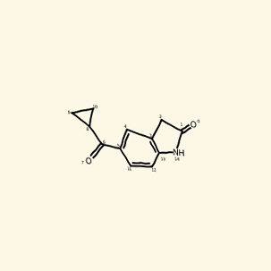 O=C1Cc2cc(C(=O)C3CC3)ccc2N1